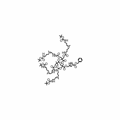 CN(CCCNC(=O)OCC(C)(COC(=O)NCCCN(C)CCCNC(=O)OC(C)(C)C)C(=O)OCC(C)(COC(=O)C(C)(COC(=O)NCCCN(C)CCCNC(=O)OC(C)(C)C)COC(=O)NCCCN(C)CCCNC(=O)OC(C)(C)C)C(=O)OCc1cn(C(=O)OCc2ccccc2)nn1)CCCNC(=O)OC(C)(C)C